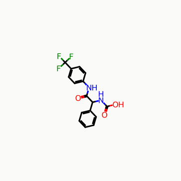 O=C(O)NC(C(=O)Nc1ccc(C(F)(F)F)cc1)c1ccccc1